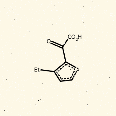 CCc1ccsc1C(=O)C(=O)O